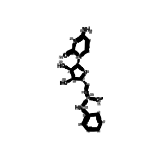 Nc1ccn([C@@H]2O[C@H](COP(O)Nc3ccccc3)[C@@H](O)[C@H]2O)c(=O)n1